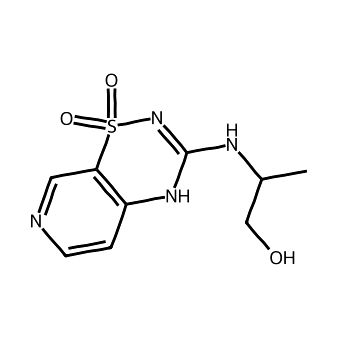 CC(CO)NC1=NS(=O)(=O)c2cnccc2N1